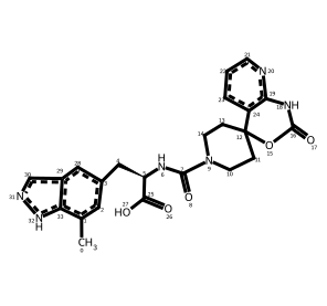 Cc1cc(C[C@@H](NC(=O)N2CCC3(CC2)OC(=O)Nc2ncccc23)C(=O)O)cc2cn[nH]c12